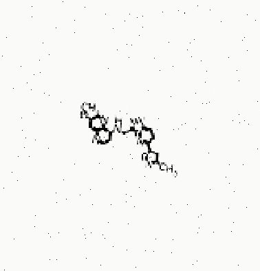 COc1cnc2c(NCc3nnc4ccc(C5CC(C)=NO5)nn34)ccnc2c1